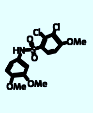 COc1ccc(NS(=O)(=O)c2ccc(OC)c(Cl)c2Cl)cc1OC